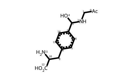 CC(=O)CNC(O)c1ccc(CC(N)C(=O)O)cc1